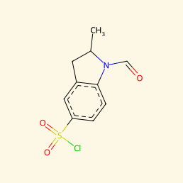 CC1Cc2cc(S(=O)(=O)Cl)ccc2N1C=O